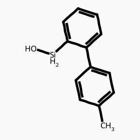 Cc1ccc(-c2ccccc2[SiH2]O)cc1